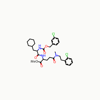 COC(=O)C(CCC(=O)N(C)CCc1ccccc1Cl)NC(=O)C(CC1CCCCC1)NC(=O)OCc1cccc(Cl)c1